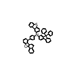 c1ccc(C2(c3ccccc3)c3ccccc3-c3ccc(N(c4ccc(-c5cccc6oc7c8ccccc8ccc7c56)cc4)c4ccc5sc6ccccc6c5c4)cc32)cc1